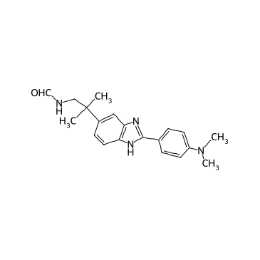 CN(C)c1ccc(-c2nc3cc(C(C)(C)CNC=O)ccc3[nH]2)cc1